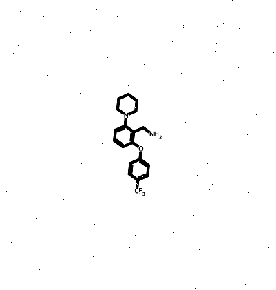 NCc1c(Oc2ccc(C(F)(F)F)cc2)cccc1N1CCCCC1